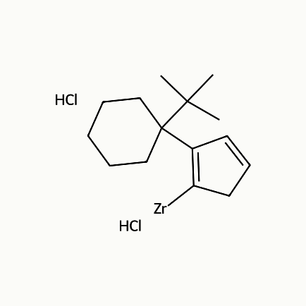 CC(C)(C)C1(C2=[C]([Zr])CC=C2)CCCCC1.Cl.Cl